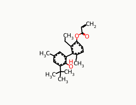 C=CC(=O)Oc1ccc(C)c(-c2cc(C)cc(C(C)(C)C)c2O)c1CC